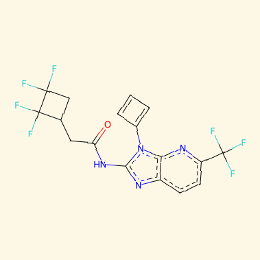 O=C(CC1CC(F)(F)C1(F)F)Nc1nc2ccc(C(F)(F)F)nc2n1C1=CC=C1